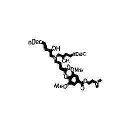 CCCCCCCCCCCCC(O)CN(CCCC(=O)Oc1c(OC)cc(C(=O)OCCN(C)C)cc1OC)CC(O)CCCCCCCCCCCC